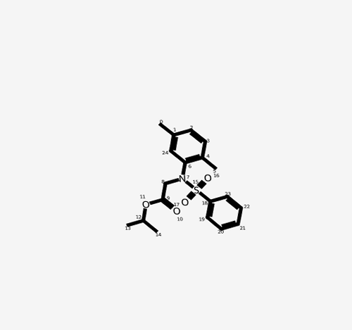 Cc1ccc(C)c(N(CC(=O)OC(C)C)S(=O)(=O)c2ccccc2)c1